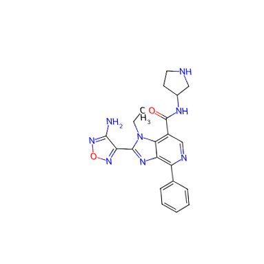 CCn1c(-c2nonc2N)nc2c(-c3ccccc3)ncc(C(=O)NC3CCNC3)c21